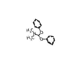 CN(C)C(Oc1ccccc1)Oc1ccccc1